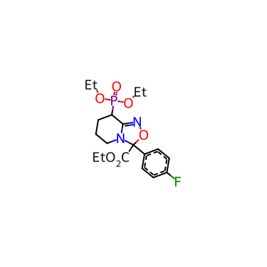 CCOC(=O)C1(c2ccc(F)cc2)ON=C2C(P(=O)(OCC)OCC)CCCN21